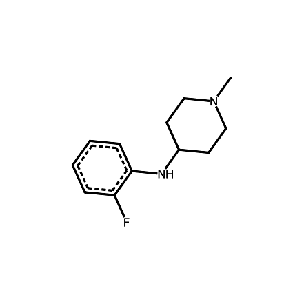 CN1CCC(Nc2ccccc2F)CC1